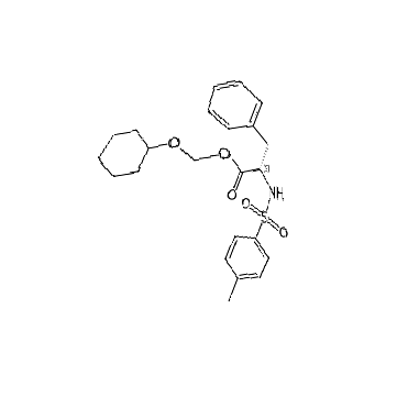 Cc1ccc(S(=O)(=O)N[C@@H](Cc2ccccc2)C(=O)OCOC2CCCCC2)cc1